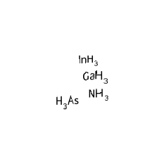 N.[AsH3].[GaH3].[InH3]